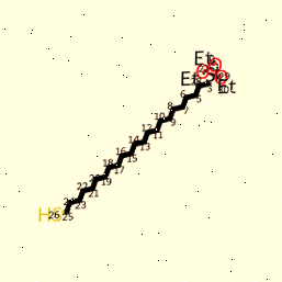 CCO[Si](CCCCCCCCCCCCCCCCCCCCCCCS)(OCC)OCC